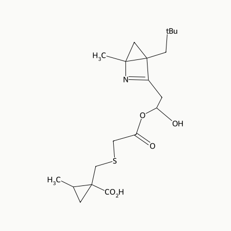 CC1CC1(CSCC(=O)OC(O)CC1=NC2(C)CC12CC(C)(C)C)C(=O)O